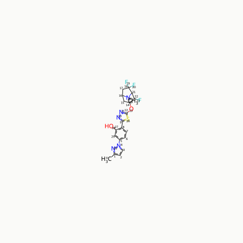 Cc1ccn(-c2ccc(-c3nnc(OC4CC5CC(F)(F)C(C4F)N5C)s3)c(O)c2)n1